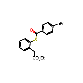 CCCc1ccc(C(=O)Sc2ccccc2CC(=O)OCC)cc1